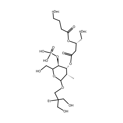 CCCCCCCCCCCCCC(=O)O[C@H](CCCCCCCCCCC)CC(=O)O[C@@H]1[C@H](C)C(OCC(CC)(CO)CO)OC(CO)[C@H]1OP(=O)(O)O